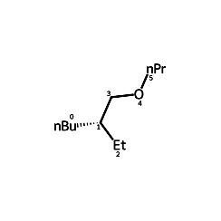 CCCC[C@@H](CC)COCCC